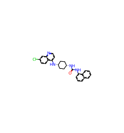 O=C(Nc1cccc2ccccc12)N[C@H]1CC[C@@H](Nc2ccnc3cc(Cl)ccc23)CC1